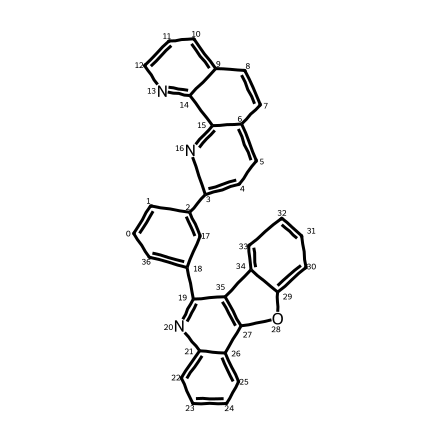 c1cc(-c2ccc3ccc4cccnc4c3n2)cc(-c2nc3ccccc3c3oc4ccccc4c23)c1